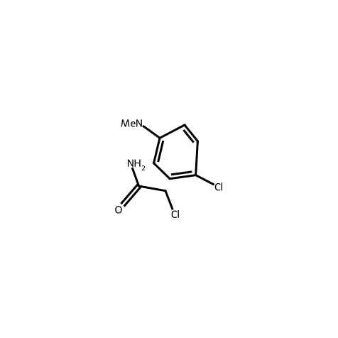 CNc1ccc(Cl)cc1.NC(=O)CCl